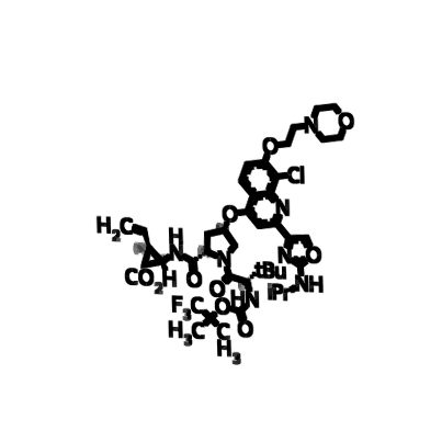 C=C[C@@H]1C[C@]1(NC(=O)[C@@H]1C[C@@H](Oc2cc(-c3coc(NC(C)C)n3)nc3c(Cl)c(OCCN4CCOCC4)ccc23)CN1C(=O)[C@@H](NC(=O)OC(C)(C)C(F)(F)F)C(C)(C)C)C(=O)O